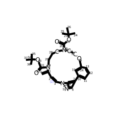 C=C1/C=C\n2ncc(c2C)-c2cccc(c2)OCCN(C(=O)OC(C)(C)C)CCCN1C(=O)OC(C)(C)C